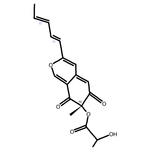 C/C=C/C=C/C1=CC2=CC(=O)[C@](C)(OC(=O)C(C)O)C(=O)C2=CO1